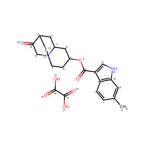 Cc1ccc2c(C(=O)OC3CC4CC5CC(C3)N4CC5=O)c[nH]c2c1.O=C(O)C(=O)O